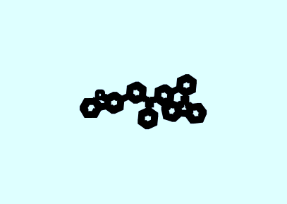 c1ccc(N(c2ccc(-c3ccccc3-n3c4ccccc4c4ccccc43)cc2)c2cccc(-c3ccc4c(c3)oc3ccccc34)c2)cc1